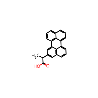 CC(C(=O)O)c1cc2cccc3c4cccc5cccc(c(c1)c23)c54